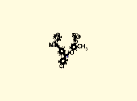 Cc1cc(OC/C=C(/c2ccc(Cl)cc2)c2ccc(C#CCN3CCOCC3)cc2)ccc1OCC(=O)[O-].[Na+]